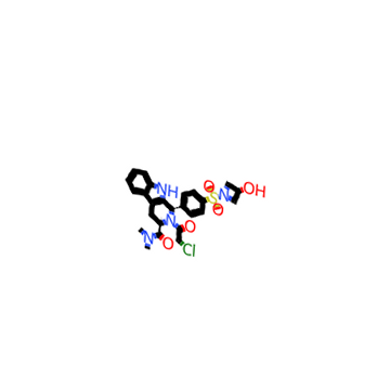 CN(C)C(=O)[C@H]1Cc2c([nH]c3ccccc23)[C@H](c2ccc(S(=O)(=O)N3CC(O)C3)cc2)N1C(=O)CCl